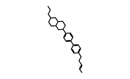 C/C=C/CCc1ccc(-c2ccc(C3CCC4CC(CCC)CCC4C3)cc2)cc1